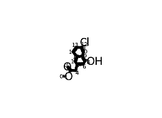 COC(=O)Cc1cc(O)c2cc(Cl)ccc2c1